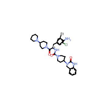 CCc1cc(C[C@@H](NC(=O)N2CCC(N3Cc4ccccc4NC3=O)CC2)C(=O)N2CCC(N3CCCCC3)CC2)cc(Cl)c1N